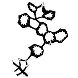 CC1(C)OB(c2ccc(-c3nc4ccccc4c4cc5c(cc34)-c3ccccc3C53c4ccccc4Oc4ccccc43)cc2)OC1(C)C